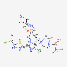 CN(C)C(=O)N1CCN(c2cc(S(=O)(=O)NC3(C)COC3)cn3c(-c4nnc(C(F)F)s4)nc(Cl)c23)CC1